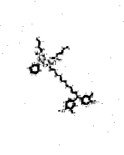 CCCC[Si](C)(C)O[Si](C)(CCCCCCCCCCC(c1ccc(O)c(C)c1)c1ccc(O)c(C)c1)O[Si](C)(O[Si](C)(C)CCCC)c1ccccc1